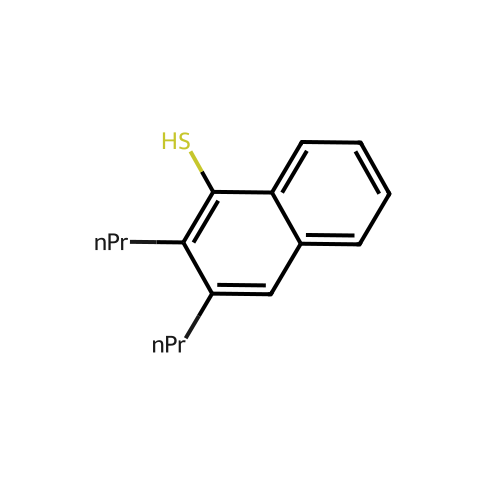 CCCc1cc2ccccc2c(S)c1CCC